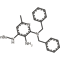 CCCCNc1cc(C)nc(N(Cc2ccccc2)Cc2ccccc2)c1N